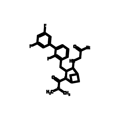 CCC(=O)CNC1C2CC(C2)N(C(=O)N(C)C)C1Cc1cccc(-c2cc(F)cc(F)c2)c1F